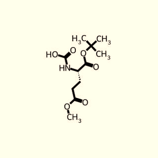 COC(=O)CC[C@H](NC(=O)O)C(=O)OC(C)(C)C